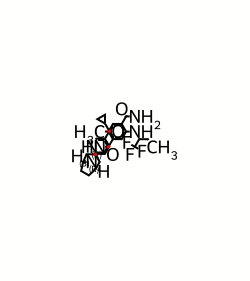 CCC(Nc1cc(C(=O)N[C@H]2C[C@H]3CC[C@@H](C2)N3c2ccc(C(=O)C3CC3)cn2)c(C)cc1C(N)=O)C(F)(F)F